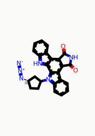 [N-]=[N+]=N[C@H]1CCC(n2c3ccccc3c3c4c(c5c6ccccc6[nH]c5c32)C(=O)NC4=O)C1